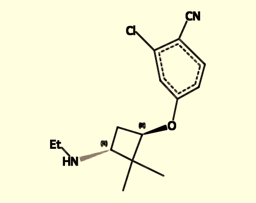 CCN[C@@H]1C[C@@H](Oc2ccc(C#N)c(Cl)c2)C1(C)C